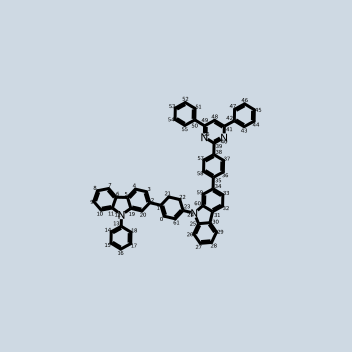 C1=C(c2ccc3c4ccccc4n(-c4ccccc4)c3c2)CCC(n2c3ccccc3c3ccc(-c4ccc(-c5nc(-c6ccccc6)cc(-c6ccccc6)n5)cc4)cc32)=C1